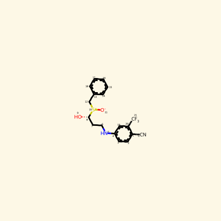 N#Cc1ccc(NCC[C@H](O)[S+]([O-])Cc2ccccc2)cc1C(F)(F)F